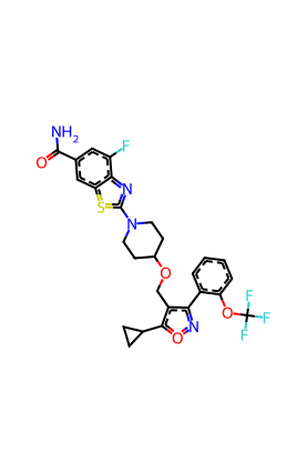 NC(=O)c1cc(F)c2nc(N3CCC(OCc4c(-c5ccccc5OC(F)(F)F)noc4C4CC4)CC3)sc2c1